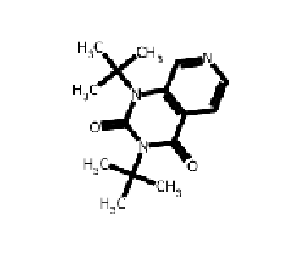 CC(C)(C)n1c(=O)c2ccncc2n(C(C)(C)C)c1=O